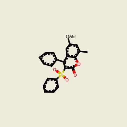 COc1cc(C)c2oc(=O)c(S(=O)(=O)c3ccccc3)c(-c3ccccc3)c2c1